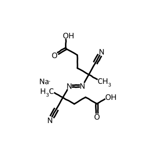 CC(C#N)(CCC(=O)O)N=NC(C)(C#N)CCC(=O)O.[Na]